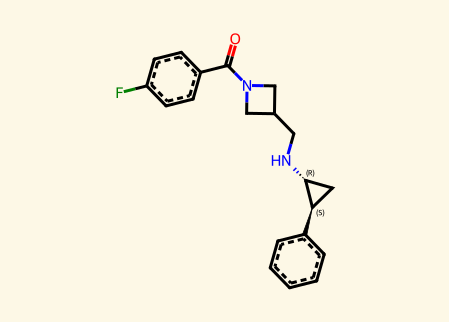 O=C(c1ccc(F)cc1)N1CC(CN[C@@H]2C[C@H]2c2ccccc2)C1